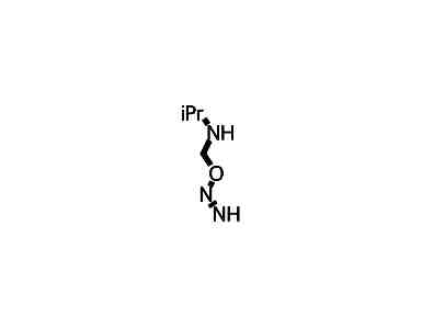 CC(C)NCON=N